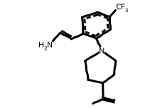 C=C(C)C1CCN(c2cc(C(F)(F)F)ccc2/C=C/N)CC1